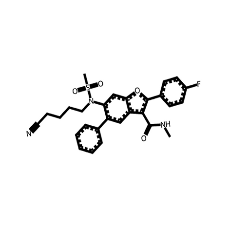 CNC(=O)c1c(-c2ccc(F)cc2)oc2cc(N(CCCCC#N)S(C)(=O)=O)c(-c3ccccc3)cc12